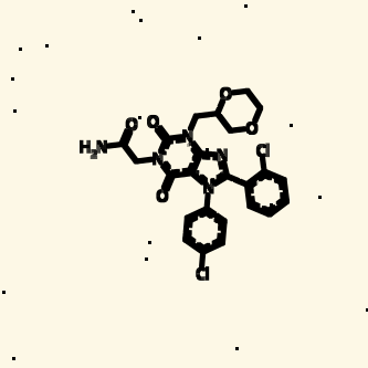 NC(=O)Cn1c(=O)c2c(nc(-c3ccccc3Cl)n2-c2ccc(Cl)cc2)n(CC2COCCO2)c1=O